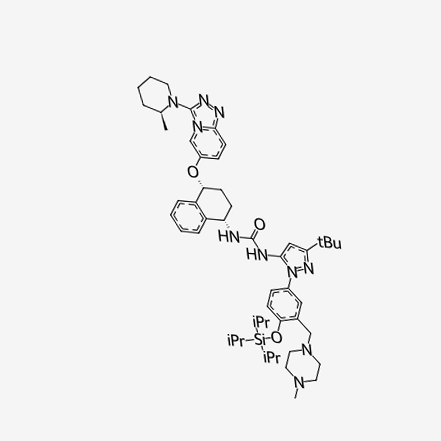 CC(C)[Si](Oc1ccc(-n2nc(C(C)(C)C)cc2NC(=O)N[C@H]2CC[C@@H](Oc3ccc4nnc(N5CCCC[C@@H]5C)n4c3)c3ccccc32)cc1CN1CCN(C)CC1)(C(C)C)C(C)C